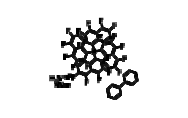 CCCCCCCCC[NH2+]CCC.Fc1ccc2c([B-](c3c(F)c(F)c(F)c4c(F)c(F)ccc34)(c3c(F)c(F)c(F)c4c(F)c(F)ccc34)c3c(F)c(F)c(F)c4c(F)c(F)ccc34)c(F)c(F)c(F)c2c1F.c1ccc(-c2ccccc2)cc1